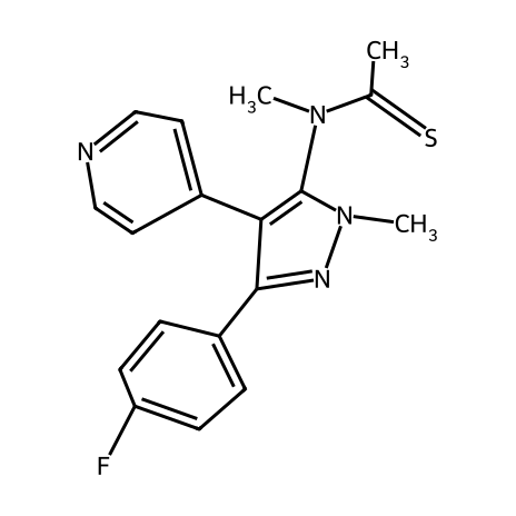 CC(=S)N(C)c1c(-c2ccncc2)c(-c2ccc(F)cc2)nn1C